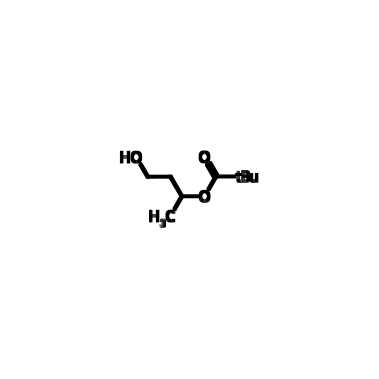 CC(CCO)OC(=O)C(C)(C)C